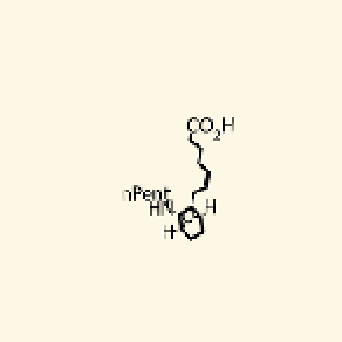 CCCCCN[C@@H]1[C@@H](C/C=C\CCCC(=O)O)[C@H]2CC[C@@H]1O2